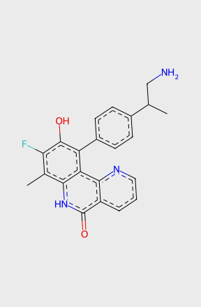 Cc1c(F)c(O)c(-c2ccc(C(C)CN)cc2)c2c1[nH]c(=O)c1cccnc12